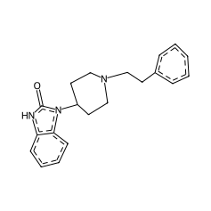 O=c1[nH]c2ccccc2n1C1CCN(CCc2ccccc2)CC1